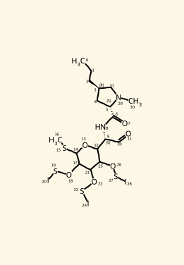 CCC[C@@H]1C[C@@H](C(=O)N[C@H](C=O)C2OC(SC)C(OSI)C(OSI)C2OSI)N(C)C1